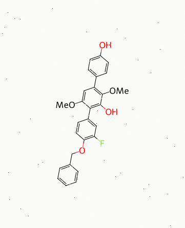 COc1cc(-c2ccc(O)cc2)c(OC)c(O)c1-c1ccc(OCc2ccccc2)c(F)c1